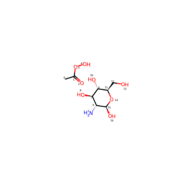 CC(=O)OO.N[C@@H]1[C@@H](O)[C@H](O)[C@@H](CO)O[C@H]1O